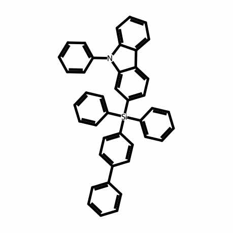 c1ccc(-c2ccc([Si](c3ccccc3)(c3ccccc3)c3ccc4c5ccccc5n(-c5ccccc5)c4c3)cc2)cc1